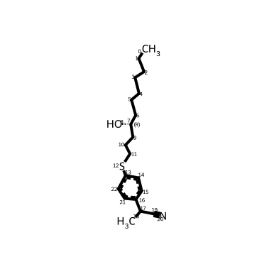 CCCCCCC[C@@H](O)CCCSc1ccc(C(C)C#N)cc1